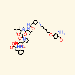 CC[C@H](C)[C@@H]([C@@H](CC(=O)N1CCC[C@H]1[C@H](OC)[C@@H](C)C(=O)N[C@@H](Cc1ccccc1)C(=O)O)OC)N(C)C(=O)[C@@H](NC(=O)CC1CC[C@H](NCCCCCCOc2ccc(C=O)c(N)c2)C1)C(C)C